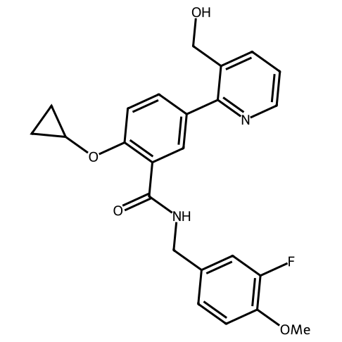 COc1ccc(CNC(=O)c2cc(-c3ncccc3CO)ccc2OC2CC2)cc1F